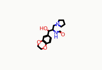 O=CNC(CN1CCCC1)C(O)c1ccc2c(c1)OCCO2